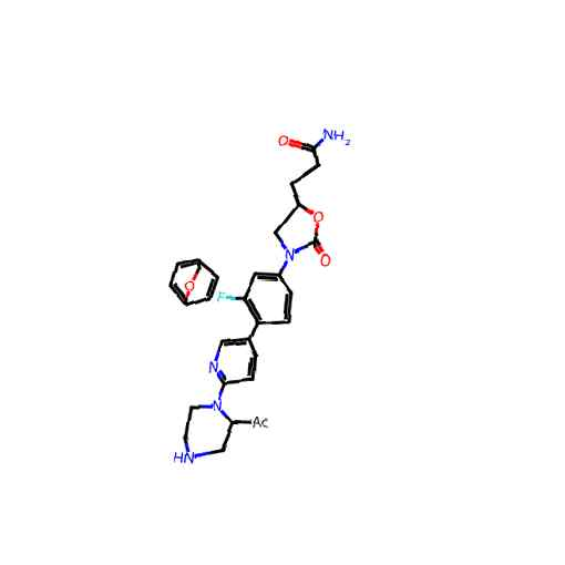 CC(=O)C1CNCCN1c1ccc(-c2ccc(N3CC(CCC(N)=O)OC3=O)cc2F)cn1.c1cc2ccc1CO2